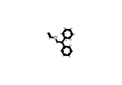 C=COCC(c1ccccc1)c1ccccc1